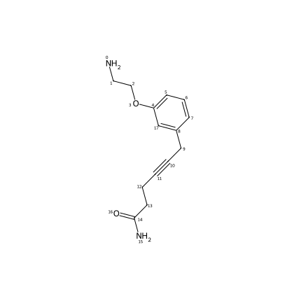 NCCOc1cccc(CC#CCCC(N)=O)c1